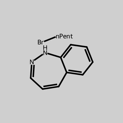 C1=Cc2ccccc2NN=C1.CCCCCBr